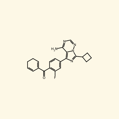 Nc1ncnn2c(C3CCC3)nc(-c3ccc(C(=O)C4=CCCC=C4)c(F)c3)c12